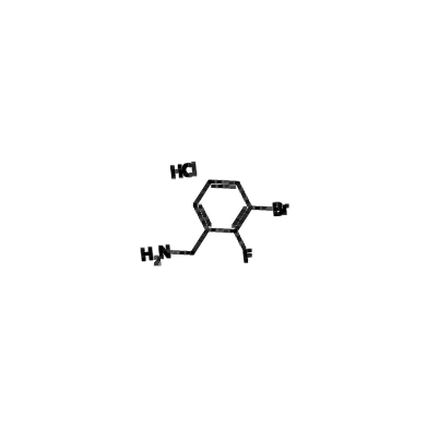 Cl.NCc1cccc(Br)c1F